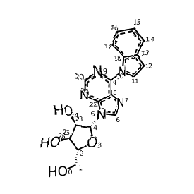 OC[C@H]1O[C@@H](n2cnc3c(-n4ccc5ccccc54)ncnc32)[C@H](O)[C@@H]1O